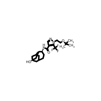 CC(C)(C)OCCn1ncc(C(=O)N[C@H]2CCC3CC4C[C@@](O)(C3)CC42)c1C(F)(F)F